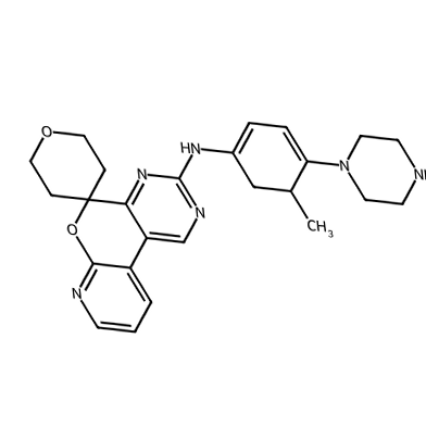 CC1CC(Nc2ncc3c(n2)C2(CCOCC2)Oc2ncccc2-3)=CC=C1N1CCNCC1